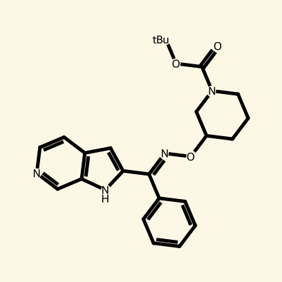 CC(C)(C)OC(=O)N1CCCC(ON=C(c2ccccc2)c2cc3ccncc3[nH]2)C1